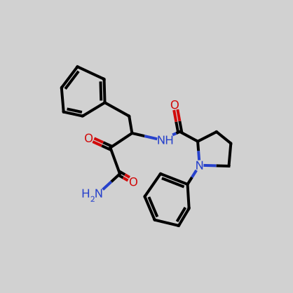 NC(=O)C(=O)C(Cc1ccccc1)NC(=O)C1CCCN1c1ccccc1